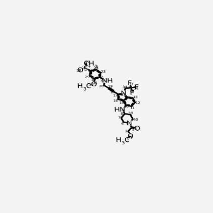 COCC(=O)N1CCC(Nc2cccc3c2cc(C#CCNc2ccc([S+](C)[O-])cc2OC)n3CC(F)(F)F)CC1